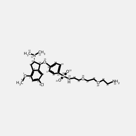 COc1cc(Cl)cc2c1C[C@H](N(C)C)[C@H]2Oc1ccc(S(=O)(=O)NCCOCCOCCN)cc1